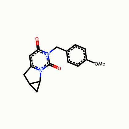 COc1ccc(Cn2c(=O)cc3n(c2=O)C2CC2C3)cc1